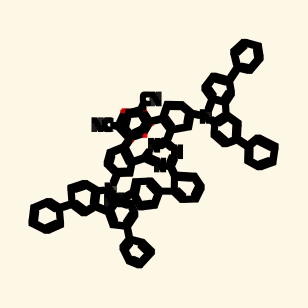 N#Cc1ccc(-c2ccccc2-c2nc(-c3cc(-n4c5ccc(-c6ccccc6)cc5c5cc(-c6ccccc6)ccc54)ccc3-c3ccc(C#N)cc3)nc(-c3cc(-n4c5ccc(-c6ccccc6)cc5c5cc(-c6ccccc6)ccc54)ccc3-c3ccc(C#N)cc3)n2)cc1